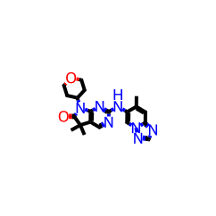 Cc1cc2ncnn2cc1Nc1ncc2c(n1)N(C1CCOCC1)C(=O)C2(C)C